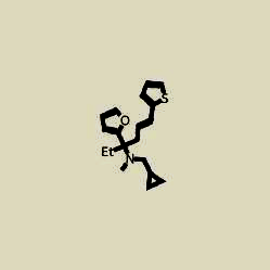 CCC(CC=Cc1cccs1)(c1ccco1)N(C)CC1CC1